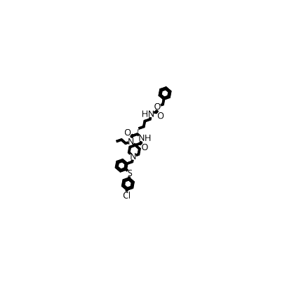 CCCN1C(=O)[C@H](CCCCNC(=O)OCc2ccccc2)NC(=O)C12CCN(Cc1ccccc1Sc1ccc(Cl)cc1)CC2